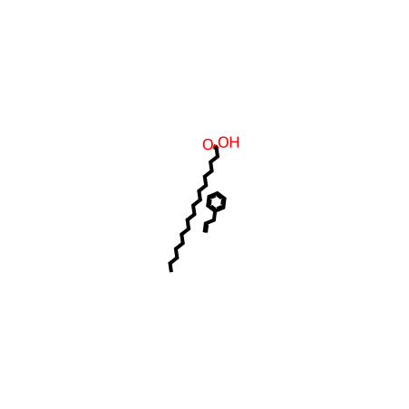 C=CCc1ccccc1.CCCCCCCCCCCCCCCCCC(=O)O